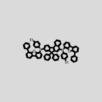 CCc1ccc(N(c2ccc3c(c2)C(c2ccccc2)(c2ccccc2)c2cc(N(c4ccc(CC)cc4)c4cccc5c4oc4c(-c6ccccc6)cccc45)c4ccccc4c2-3)c2cccc3c2oc2c(-c4ccccc4)cccc23)cc1